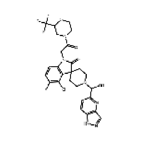 O=C(CN1C(=O)C2(CCN(C(O)c3ccc4[nH]ncc4n3)CC2)c2c1ccc(F)c2Cl)N1CCOC(C(F)(F)F)C1